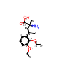 CCOc1cccc(C(C)CC(C)(N)C(=O)O)c1OCC